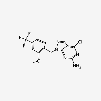 COc1cc(C(F)(F)F)ccc1Cn1ncc2c(Cl)nc(N)nc21